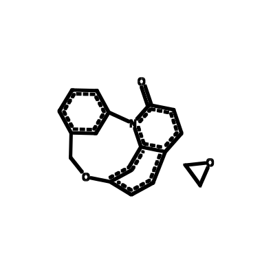 C1CO1.O=c1ccc2ccc3cc2n1-c1cccc(c1)CO3